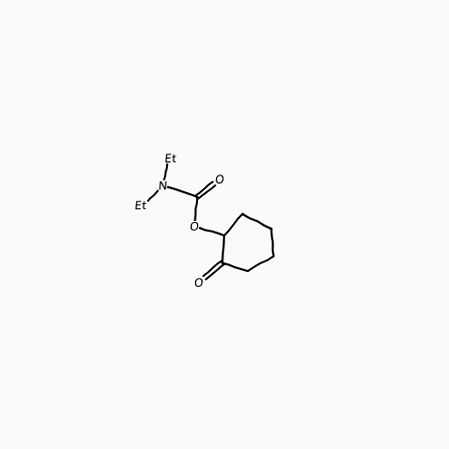 CCN(CC)C(=O)OC1CCCCC1=O